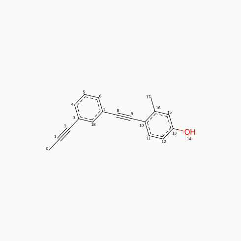 CC#Cc1cccc(C#Cc2ccc(O)cc2C)c1